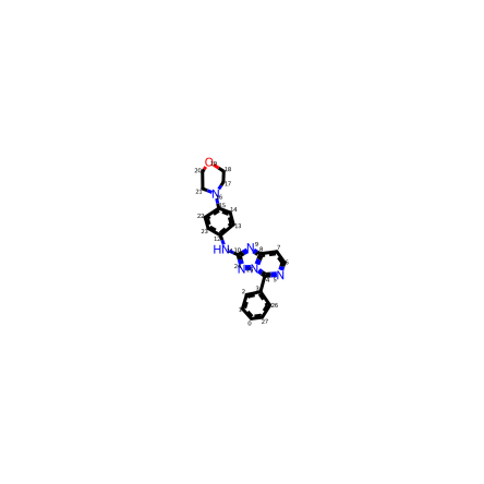 c1ccc(-c2nccc3nc(Nc4ccc(N5CCOCC5)cc4)nn23)cc1